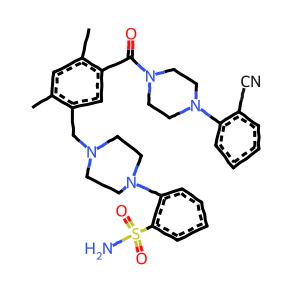 Cc1cc(C)c(C(=O)N2CCN(c3ccccc3C#N)CC2)cc1CN1CCN(c2ccccc2S(N)(=O)=O)CC1